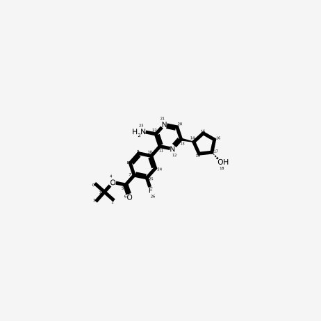 CC(C)(C)OC(=O)c1ccc(-c2nc([C@H]3CC[C@H](O)C3)cnc2N)cc1F